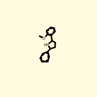 COc1ccccc1C1CCC(c2ccccc2)N1